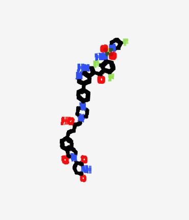 O=C1CCC(N2Cc3cc(CC[C@H](O)CN4CCN(c5ccc(-c6cnc7[nH]cc(C(=O)c8c(F)ccc(NS(=O)(=O)N9CC[C@@H](F)C9)c8F)c7c6)cc5)CC4)ccc3C2=O)C(=O)N1